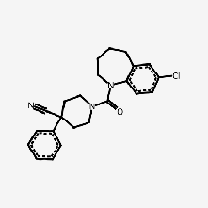 N#CC1(c2ccccc2)CCN(C(=O)N2CCCCc3cc(Cl)ccc32)CC1